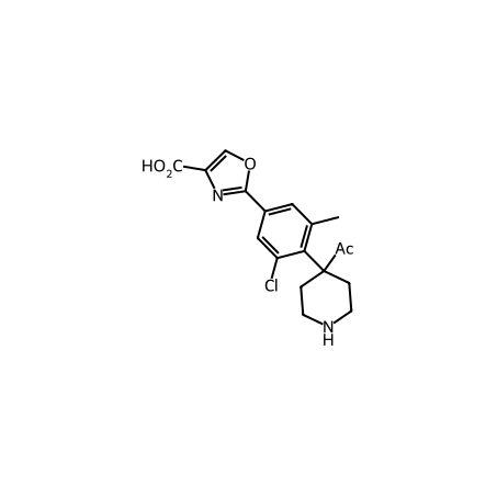 CC(=O)C1(c2c(C)cc(-c3nc(C(=O)O)co3)cc2Cl)CCNCC1